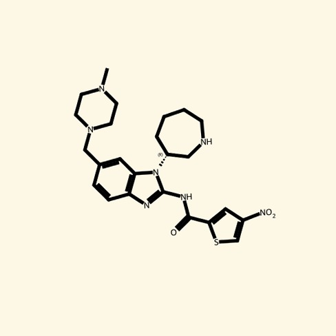 CN1CCN(Cc2ccc3nc(NC(=O)c4cc([N+](=O)[O-])cs4)n([C@@H]4CCCCNC4)c3c2)CC1